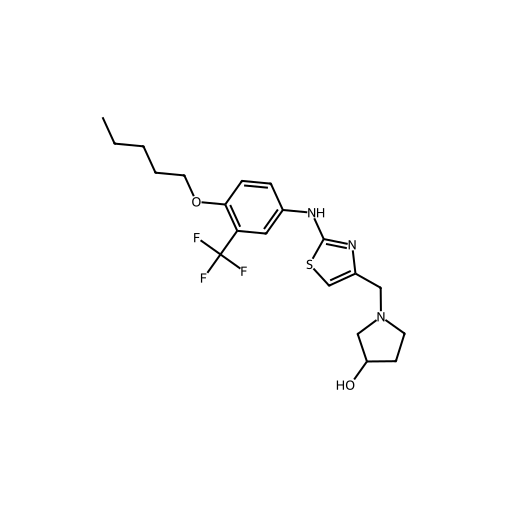 CCCCCOc1ccc(Nc2nc(CN3CCC(O)C3)cs2)cc1C(F)(F)F